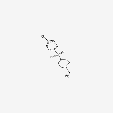 O=S(=O)(c1ccc(Cl)cc1)N1CCC(CO)CC1